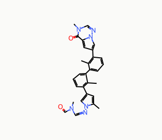 Cc1c(-c2cc(C)n(/N=C\N(C)C=O)c2)cccc1-c1cccc(-c2cc3c(=O)n(C)cnn3c2)c1C